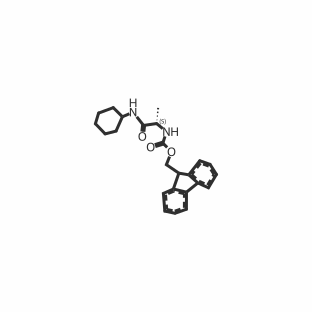 C[C@H](NC(=O)OCC1c2ccccc2-c2ccccc21)C(=O)NC1CCCCC1